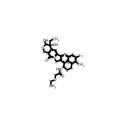 CC[C@]1(O)c2cc3n(c(=O)c2COC1O)Cc1c-3nc2cc(F)c(C)c3c2c1[C@@H](NC(=O)COCN)CC3